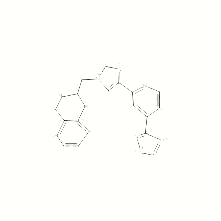 C1=C(c2cc(-c3nn[nH]n3)ccn2)NCN1CC1CCc2ccccc2C1